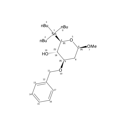 CCC[CH2][Sn]([CH2]CCC)([CH2]CCC)[C@H]1O[C@@H](OC)C[C@@H](OCc2ccccc2)[C@@H]1O